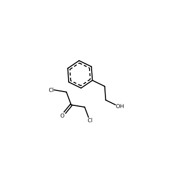 O=C(CCl)CCl.OCCc1ccccc1